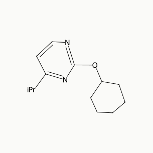 CC(C)c1ccnc(OC2CCCCC2)n1